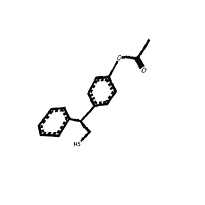 CC(=O)Oc1ccc(C(CS)c2ccccc2)cc1